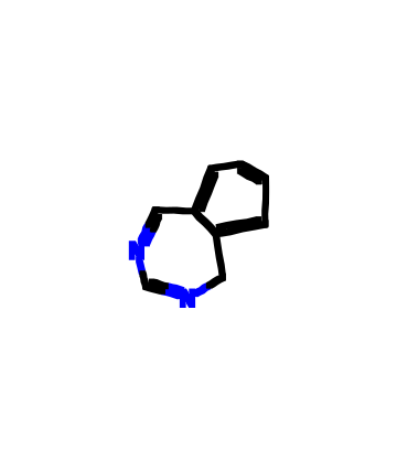 C1=NC=NCc2ccccc21